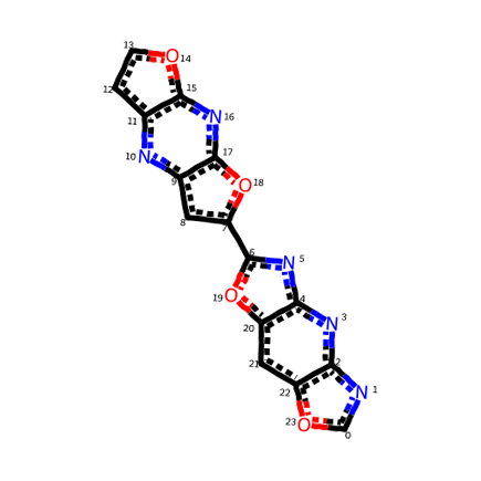 c1nc2nc3nc(-c4cc5nc6ccoc6nc5o4)oc3cc2o1